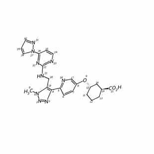 Cn1nnc(-c2ccc(O[C@H]3CCC[C@H](C(=O)O)C3)cn2)c1CNc1nccc(-n2cccn2)n1